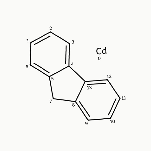 [Cd].c1ccc2c(c1)Cc1ccccc1-2